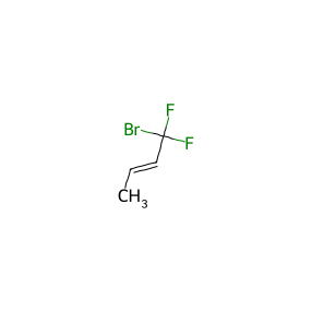 C/C=C/C(F)(F)Br